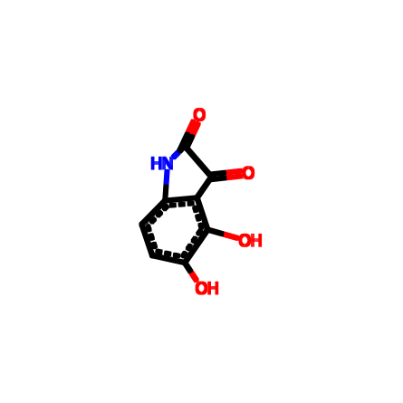 O=C1Nc2ccc(O)c(O)c2C1=O